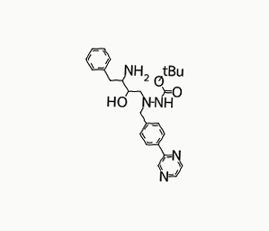 CC(C)(C)OC(=O)NN(Cc1ccc(-c2cnccn2)cc1)CC(O)C(N)Cc1ccccc1